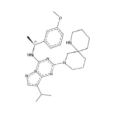 COc1cccc([C@H](C)Nc2nc(N3CCCC4(CCCCN4)C3)nc3c(C(C)C)cnn23)c1